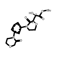 CC(C)(C)OC(=O)[C@H](O)[C@H]1OCCN(c2cccc(N3CCOCC3=O)c2)C1=O